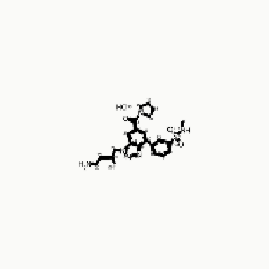 CNS(=O)(=O)c1cccc(-c2cc(C(=O)N3CCCC3)cc3c2nnn3C/C(F)=C/CN)c1.Cl